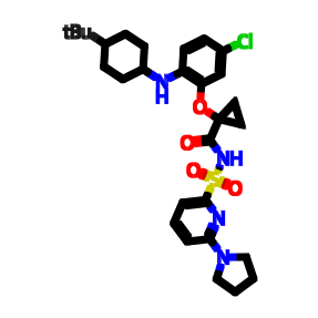 CC(C)(C)C1CCC(Nc2ccc(Cl)cc2OC2(C(=O)NS(=O)(=O)c3cccc(N4CCCC4)n3)CC2)CC1